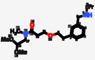 CCCNCc1cccc(CCOCCC(=O)N(C)CC(OC)OC)c1